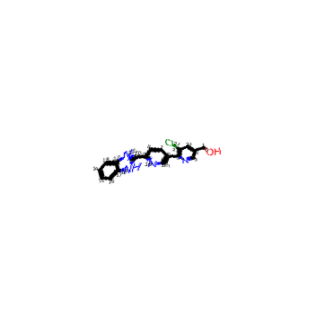 OCc1cnc(-c2ccc(-c3nc4ccccc4[nH]3)nc2)c(Cl)c1